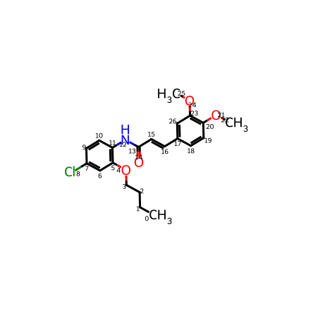 CCCCOc1cc(Cl)ccc1NC(=O)/C=C/c1ccc(OC)c(OC)c1